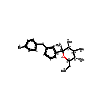 CCc1ccc(Cc2cccc(C3(OC)O[C@H](COC(C)=O)[C@@H](OC(C)=O)[C@H](OC(C)=O)[C@H]3OC(C)=O)c2)cc1